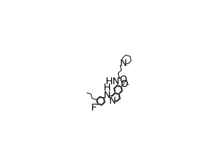 CCCc1cc(Nc2nccc3cc(OC)c(NC(=O)CCCN4CCCCC4)cc23)ccc1F